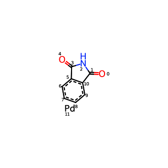 O=C1NC(=O)c2ccccc21.[Pd]